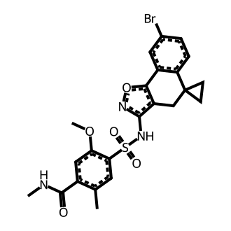 CNC(=O)c1cc(OC)c(S(=O)(=O)Nc2noc3c2CC2(CC2)c2ccc(Br)cc2-3)cc1C